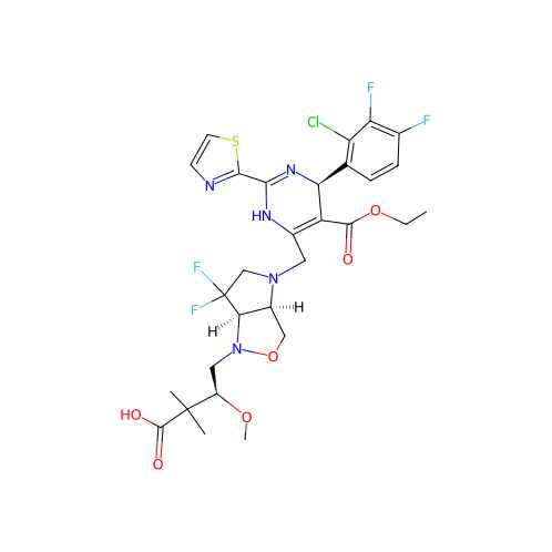 CCOC(=O)C1=C(CN2CC(F)(F)[C@H]3[C@@H]2CON3C[C@@H](OC)C(C)(C)C(=O)O)NC(c2nccs2)=N[C@H]1c1ccc(F)c(F)c1Cl